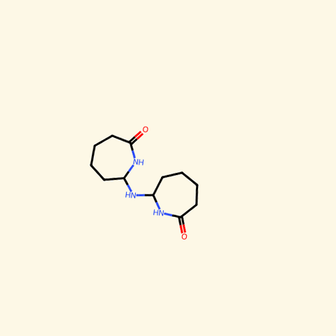 O=C1CCCCC(NC2CCCCC(=O)N2)N1